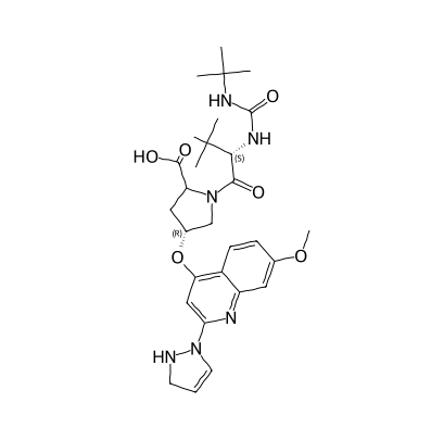 COc1ccc2c(O[C@@H]3CC(C(=O)O)N(C(=O)[C@@H](NC(=O)NC(C)(C)C)C(C)(C)C)C3)cc(N3C=CCN3)nc2c1